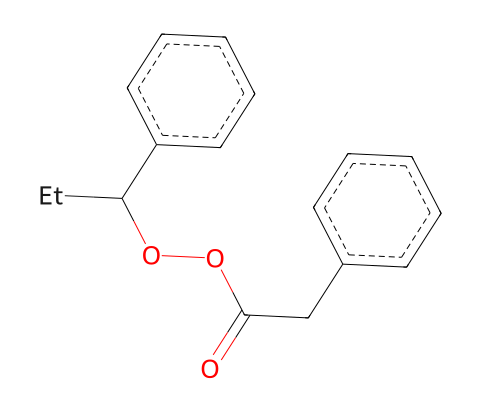 CCC(OOC(=O)Cc1ccccc1)c1ccccc1